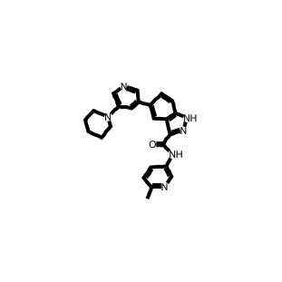 Cc1ccc(NC(=O)c2n[nH]c3ccc(-c4cncc(N5CCCCC5)c4)cc23)cn1